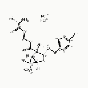 CC(C)[C@H](N)C(=O)OCOC(=O)[C@@]1(N)[C@H]2[C@@H](C[C@H]1OCc1ccc(F)cc1)[C@]2(F)C(=O)O.Cl.Cl